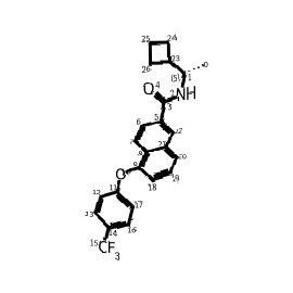 C[C@H](NC(=O)c1ccc2c(Oc3ccc(C(F)(F)F)cc3)cccc2c1)C1CCC1